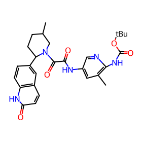 Cc1cc(NC(=O)C(=O)N2CC(C)CCC2c2ccc3[nH]c(=O)ccc3c2)cnc1NC(=O)OC(C)(C)C